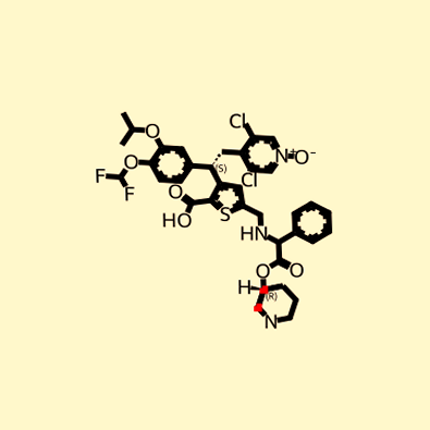 CC(C)Oc1cc([C@H](Cc2c(Cl)c[n+]([O-])cc2Cl)c2cc(CNC(C(=O)O[C@H]3CN4CCC3CC4)c3ccccc3)sc2C(=O)O)ccc1OC(F)F